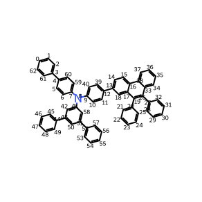 c1ccc(-c2ccc(N(c3ccc(-c4ccc5c(c4)c(-c4ccccc4)c(-c4ccccc4)c4ccccc45)cc3)c3cc(-c4ccccc4)cc(-c4ccccc4)c3)cc2)cc1